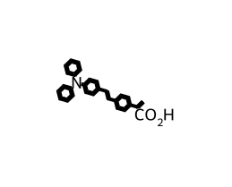 C=C(C(=O)O)c1ccc(C=Cc2ccc(N(c3ccccc3)c3ccccc3)cc2)cc1